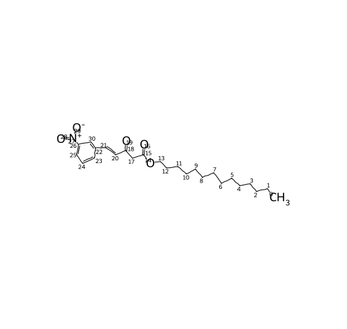 CCCCCCCCCCCCCCOC(=O)CC(=O)C=Cc1cccc([N+](=O)[O-])c1